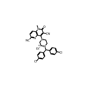 CC[C@@H]1CN(c2c(C#N)c(=O)n(C)c3ccc(C#N)nc23)CCN1C(c1ccc(Cl)cc1)c1ccc(Cl)cc1